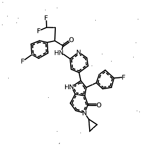 O=C(Nc1cc(-c2[nH]c3ccn(C4CC4)c(=O)c3c2-c2ccc(F)cc2)ccn1)C(CC(F)F)c1ccc(F)cc1